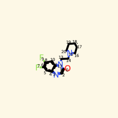 O=c1cnc2cc(F)c(F)cc2n1CCN1CC[CH]CC1